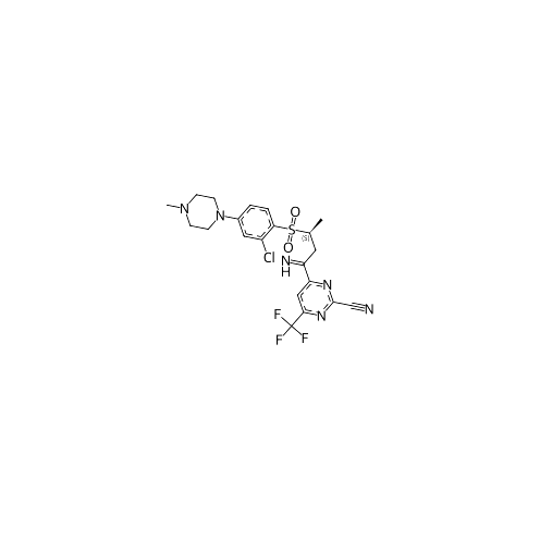 C[C@@H](CC(=N)c1cc(C(F)(F)F)nc(C#N)n1)S(=O)(=O)c1ccc(N2CCN(C)CC2)cc1Cl